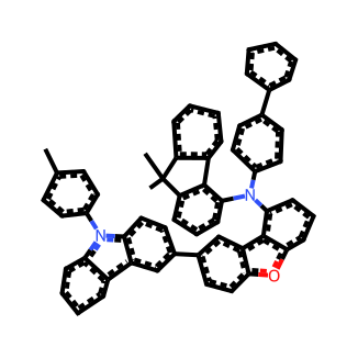 Cc1ccc(-n2c3ccccc3c3cc(-c4ccc5oc6cccc(N(c7ccc(-c8ccccc8)cc7)c7cccc8c7-c7ccccc7C8(C)C)c6c5c4)ccc32)cc1